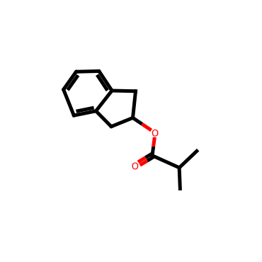 CC(C)C(=O)OC1Cc2ccccc2C1